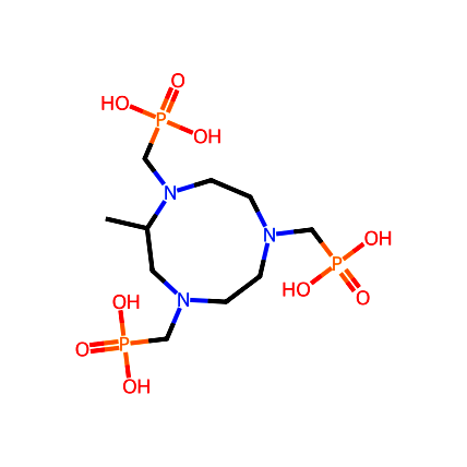 CC1CN(CP(=O)(O)O)CCN(CP(=O)(O)O)CCN1CP(=O)(O)O